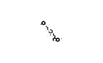 COc1ccc2nccc([C@@H](O)CC[C@@H]3CCN(CCCSc4cccc(Cl)c4)C[C@@H]3C(=O)O)c2c1